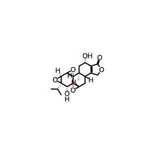 CC(C)[C@]12O[C@H]1[C@@H]1O[C@]13[C@]1(O[C@H]1C[C@H]1C4=C(C(=O)OC4)[C@@H](O)C[C@@]13C)[C@@H]2O